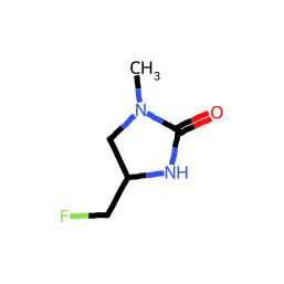 CN1CC(CF)NC1=O